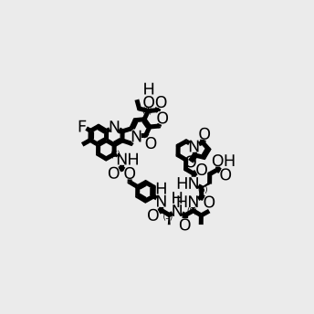 CC[C@@]1(O)C(=O)OCc2c1cc1n(c2=O)Cc2c-1nc1cc(F)c(C)c3c1c2[C@@H](NC(=O)OCc1ccc(NC(=O)[C@H](C)NC(=O)[C@@H](NC(=O)[C@H](CCC(=O)O)NC(=O)CCCCCN2C(=O)C=CC2=O)C(C)C)cc1)CC3